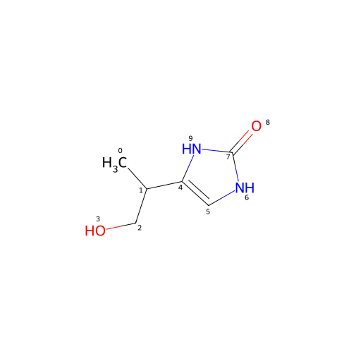 CC(CO)c1c[nH]c(=O)[nH]1